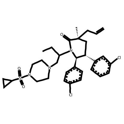 C=CC[C@@]1(C)C[C@H](c2cccc(Cl)c2)[C@@H](c2ccc(Cl)cc2)N(C(CC)CN2CCN(S(=O)(=O)C3CC3)CC2)C1=O